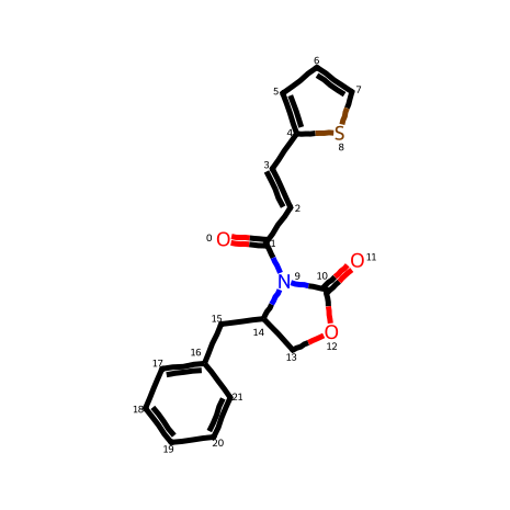 O=C(C=Cc1cccs1)N1C(=O)OCC1Cc1ccccc1